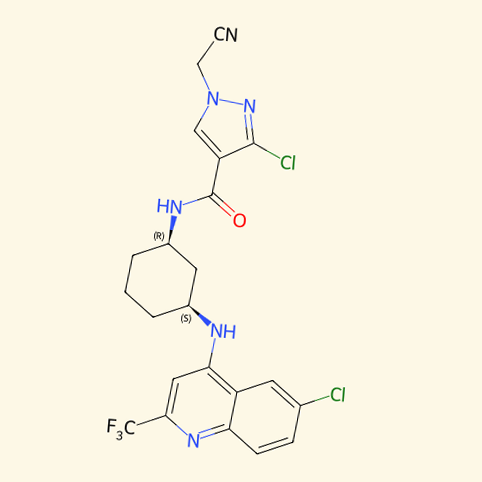 N#CCn1cc(C(=O)N[C@@H]2CCC[C@H](Nc3cc(C(F)(F)F)nc4ccc(Cl)cc34)C2)c(Cl)n1